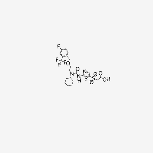 O=C(O)CS(=O)(=O)c1cnc(NC(=O)N(CCOCc2ccc(F)cc2C(F)(F)F)C2CCCCC2)s1